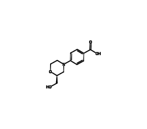 O=C(O)c1ccc(N2CCO[C@H](CO)C2)cc1